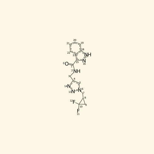 O=C(NCc1cn(CC2CC2(F)F)nn1)c1n[nH]c2ccccc12